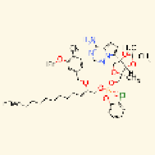 CCCCCCCCCCCCCCCCCCC[C@H](COP(=O)(OC[C@@]1(C)OC[C@@]2(c3ccc4c(N)ncnn34)OC(C)(C)O[C@H]12)Oc1ccccc1Cl)OCc1ccc(C#N)c(OC(C)C)c1